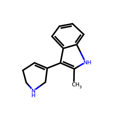 Cc1[nH]c2ccccc2c1C1=CCCNC1